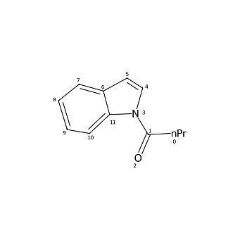 CCCC(=O)n1ccc2ccccc21